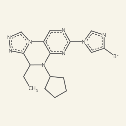 CCC1c2nncn2-c2cnc(-n3cnc(Br)c3)nc2N1C1CCCC1